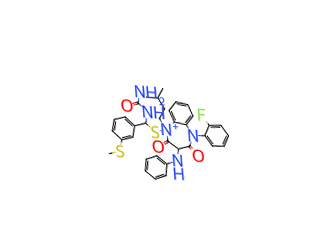 CSc1cccc(C(NC(N)=O)S[N+]2(CCC(C)C)C(=O)C(Nc3ccccc3)C(=O)N(c3ccccc3F)c3ccccc32)c1